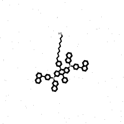 SCCCCCCCCCCc1ccc(-c2c3ccc(N(c4ccc(-c5cccc6ccccc56)cc4)c4ccc5ccccc5c4)cc3c(-c3ccccc3)c3ccc(N(c4ccc(-c5cccc6ccccc56)cc4)c4ccc5ccccc5c4)cc23)cc1